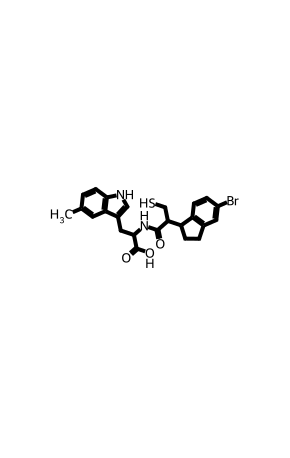 Cc1ccc2[nH]cc(CC(NC(=O)C(CS)C3CCc4cc(Br)ccc43)C(=O)O)c2c1